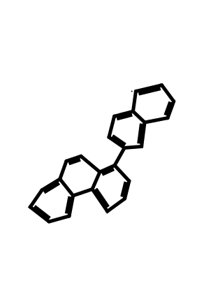 [c]1cccc2cc(-c3cccc4c3ccc3ccccc34)ccc12